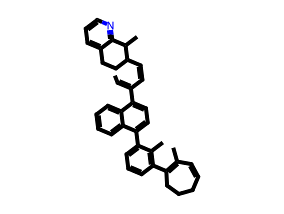 C/C=C(\C=C/C1CCc2cccnc2C1C)c1ccc(-c2cccc(C3=C(C)C=CCCC3)c2C)c2ccccc12